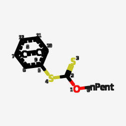 CCCCCOC(=S)Sc1cc2ccc1cc2